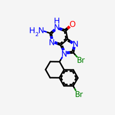 Nc1nc2c(nc(Br)n2C2CCCc3cc(Br)ccc32)c(=O)[nH]1